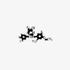 CCOc1cc(C)c(Nc2nc(=O)c(F)cn2Cc2ccc(F)c(Cl)c2)cc1F